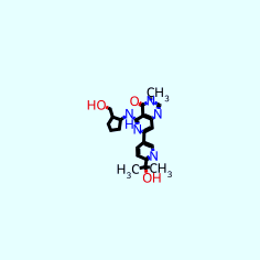 Cn1cnc2cc(-c3ccc(C(C)(C)O)nc3)nc(NC3CCCC3CO)c2c1=O